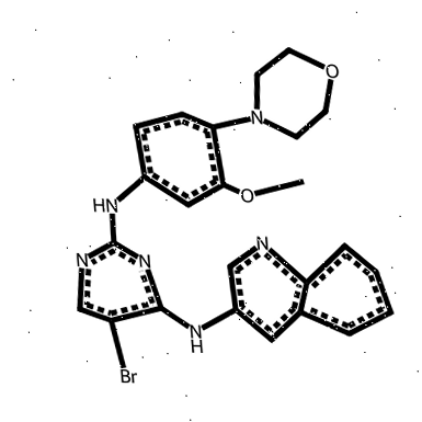 COc1cc(Nc2ncc(Br)c(Nc3cnc4ccccc4c3)n2)ccc1N1CCOCC1